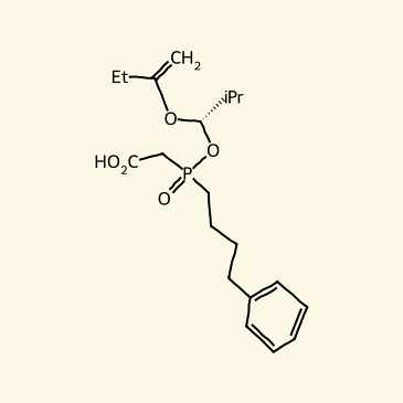 C=C(CC)O[C@@H](OP(=O)(CCCCc1ccccc1)CC(=O)O)C(C)C